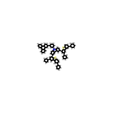 c1ccc(-c2ccc3sc4c(-c5ccc6c(c5)c5cc(-c7cc(-c8ccccc8)cc8c7sc7ccc(-c9ccccc9)cc78)ccc5n6-c5cccc(-c6ccc7c8ccccc8c8ccccc8c7c6)c5)cc(-c5ccccc5)cc4c3c2)cc1